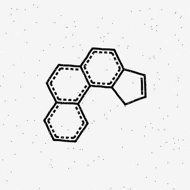 [CH]1C=Cc2ccc3ccc4ccccc4c3c21